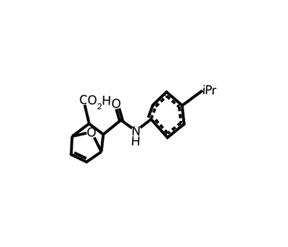 CC(C)c1ccc(NC(=O)C2C3C=CC(O3)C2C(=O)O)cc1